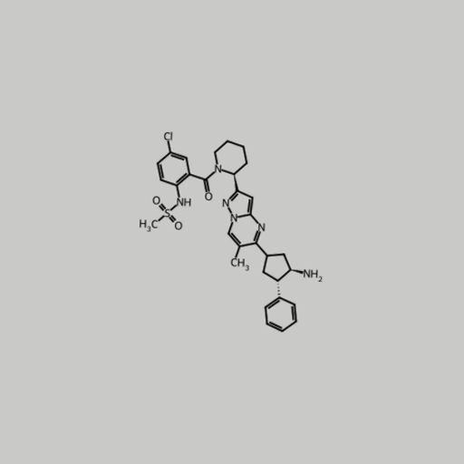 Cc1cn2nc([C@@H]3CCCCN3C(=O)c3cc(Cl)ccc3NS(C)(=O)=O)cc2nc1C1C[C@@H](N)[C@H](c2ccccc2)C1